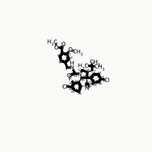 COC(=O)c1ccc(CNC(=O)N2C[C@@H](CC(C)(C)C)[C@](C#N)(c3ccc(Cl)cc3F)[C@H]2c2cccc(Cl)c2F)cc1OC